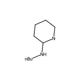 CCCCNC1CCCC[N]1